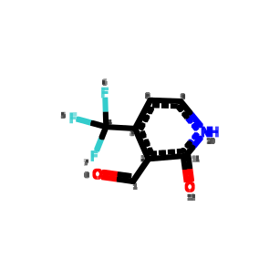 O=Cc1c(C(F)(F)F)cc[nH]c1=O